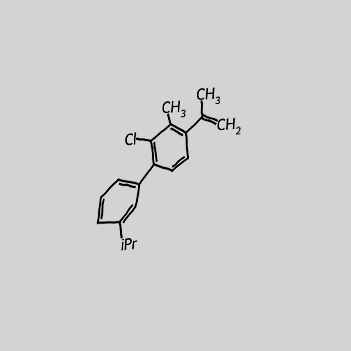 C=C(C)c1ccc(-c2cccc(C(C)C)c2)c(Cl)c1C